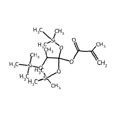 C=C(C)C(=O)OC(O[Si](C)(C)C)(O[Si](C)(C)C)C(C)O[Si](C)(C)C